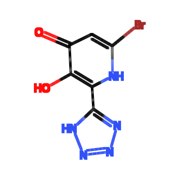 O=c1cc(Br)[nH]c(-c2nnn[nH]2)c1O